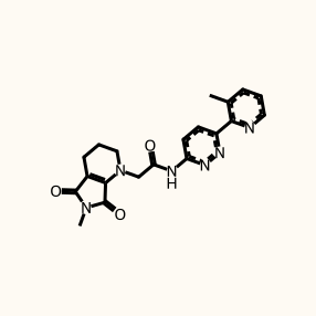 Cc1cccnc1-c1ccc(NC(=O)CN2CCCC3=C2C(=O)N(C)C3=O)nn1